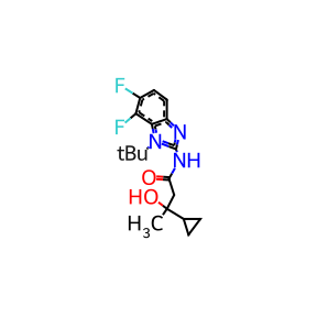 CC(O)(CC(=O)Nc1nc2ccc(F)c(F)c2n1C(C)(C)C)C1CC1